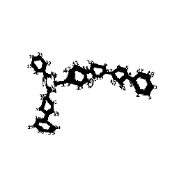 c1ccc(-c2ccc(-c3ccc4c(c3)oc3cc(-c5nc(-c6ccccc6)nc(-c6ccc(-c7ccccc7)cc6)n5)ccc34)cc2)cc1